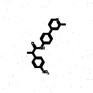 Cc1cc(-c2ccc(NC(=O)C(C)c3ccc([N+](=O)[O-])cc3)cc2)ccn1